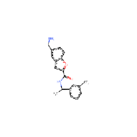 NCc1ccc2oc(C(=O)NC(c3cccc(C(F)(F)F)c3)C(F)(F)F)cc2c1